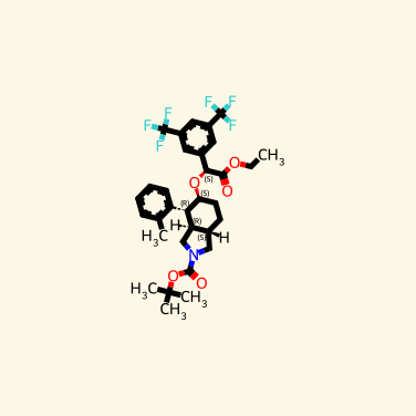 CCOC(=O)[C@@H](O[C@H]1CC[C@@H]2CN(C(=O)OC(C)(C)C)C[C@H]2[C@@H]1c1ccccc1C)c1cc(C(F)(F)F)cc(C(F)(F)F)c1